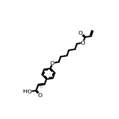 C=CC(=O)OCCCCCCOc1ccc(/C=C/C(=O)O)cc1